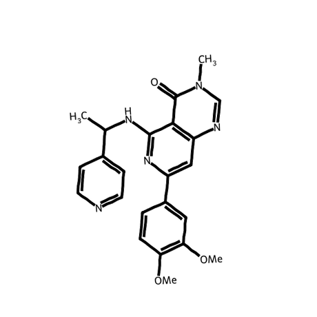 COc1ccc(-c2cc3ncn(C)c(=O)c3c(NC(C)c3ccncc3)n2)cc1OC